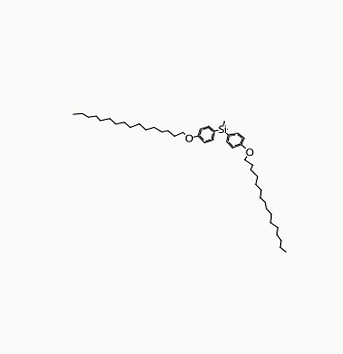 CCCCCCCCCCCCCCCCOc1ccc([Si](C)c2ccc(OCCCCCCCCCCCCCCCC)cc2)cc1